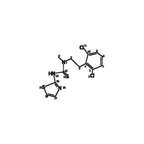 CN(CCc1c(Cl)cccc1Cl)C(=S)Nc1nccs1